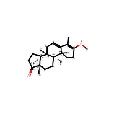 COC1=C(C)C2=CC[C@@H]3[C@H](CC[C@]4(C)C(=O)CC[C@@H]34)[C@@]2(C)CC1